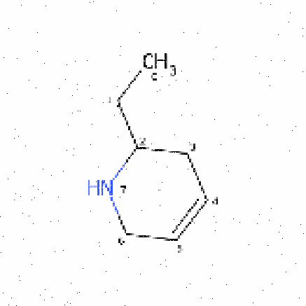 C[CH]C1CC=CCN1